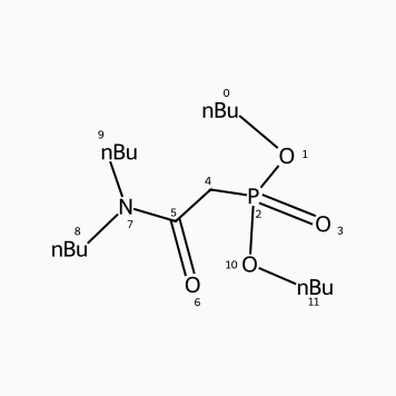 CCCCOP(=O)(CC(=O)N(CCCC)CCCC)OCCCC